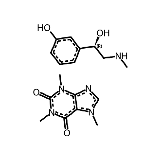 CNC[C@H](O)c1cccc(O)c1.Cn1c(=O)c2c(ncn2C)n(C)c1=O